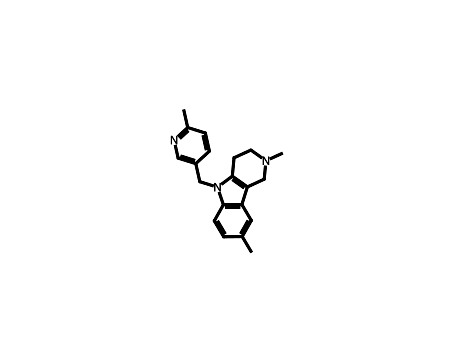 Cc1ccc2c(c1)c1c(n2Cc2ccc(C)nc2)CCN(C)C1